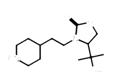 CC(C)(O)C1COC(=O)N1CCC1CCNCC1